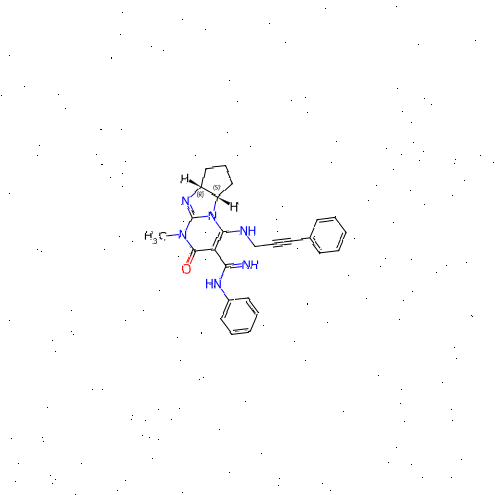 CN1C(=O)C(C(=N)Nc2ccccc2)=C(NCC#Cc2ccccc2)N2C1=N[C@@H]1CCC[C@@H]12